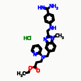 CCOC(=O)CCN(Cc1ccc2c(c1)nc(CNc1ccc(C(=N)N)cc1)n2C)c1ccccn1.Cl